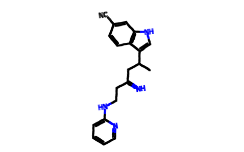 CC(CC(=N)CCNc1ccccn1)c1c[nH]c2cc(C#N)ccc12